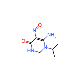 CC(C)N1CNC(=O)C(N=O)=C1N